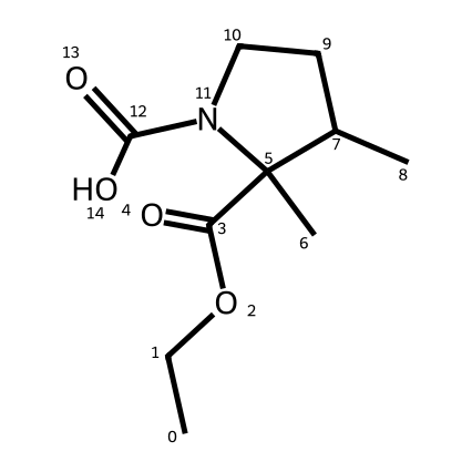 CCOC(=O)C1(C)C(C)CCN1C(=O)O